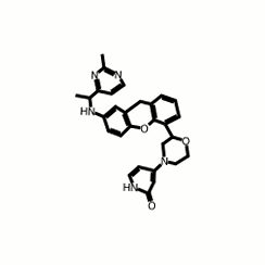 Cc1nccc(C(C)Nc2ccc3c(c2)Cc2cccc(C4CN(c5cc[nH]c(=O)c5)CCO4)c2O3)n1